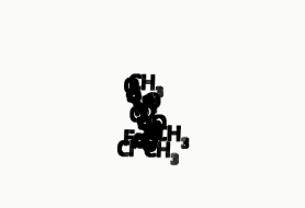 COc1ccc(CN(c2ccon2)S(=O)(=O)c2ccc3c(-c4cc(F)c(Cl)cc4OC)nn(C)c(=O)c3c2)cc1